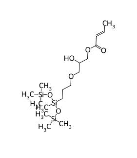 CC=CC(=O)OCC(O)COCCC[Si](C)(O[Si](C)(C)C)O[Si](C)(C)C